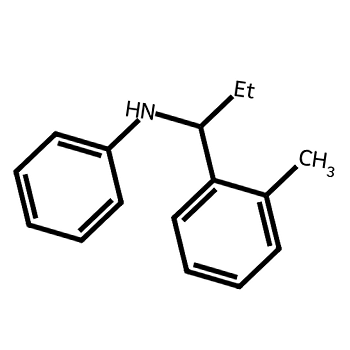 CCC(Nc1ccccc1)c1ccccc1C